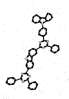 c1ccc(-c2nc(-c3ccccc3)nc(-c3ccc4c(c3)oc3ccc(-c5nc(-c6ccccc6)nc(-c6ccc(-n7c8ccccc8c8ccccc87)cc6)n5)cc34)n2)cc1